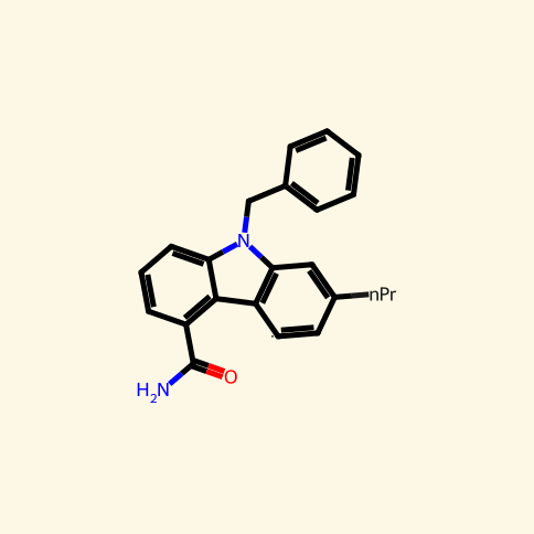 CCCc1c[c]c2c3c(C(N)=O)cccc3n(Cc3ccccc3)c2c1